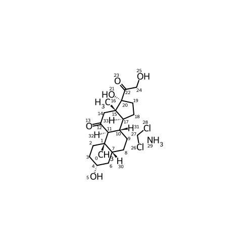 C[C@]12CC[C@@H](O)C[C@H]1CC[C@@H]1[C@@H]2C(=O)C[C@@]2(C)[C@H]1CC[C@]2(O)C(=O)CO.ClCCl.N